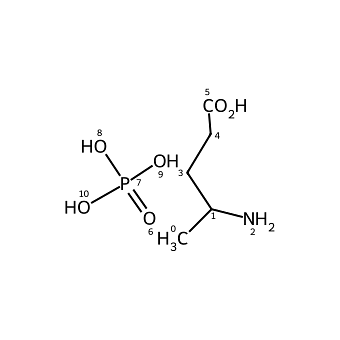 CC(N)CCC(=O)O.O=P(O)(O)O